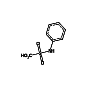 O=C(O)S(=O)(=O)Nc1ccccc1